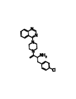 C=C(C(N)Cc1ccc(Cl)cc1)N1CCN(c2ncnc3ccccc23)CC1